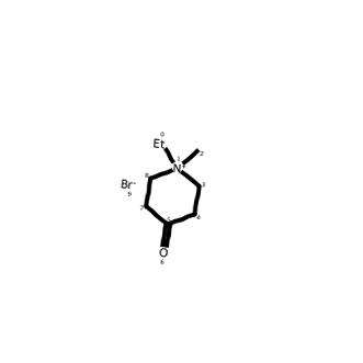 CC[N+]1(C)CCC(=O)CC1.[Br-]